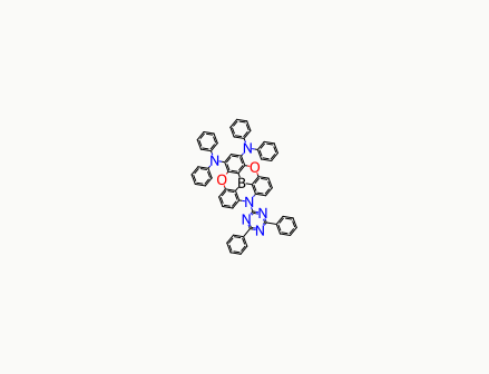 c1ccc(-c2nc(-c3ccccc3)nc(N3c4cccc5c4B4c6c(cccc63)Oc3c(N(c6ccccc6)c6ccccc6)cc(N(c6ccccc6)c6ccccc6)c(c34)O5)n2)cc1